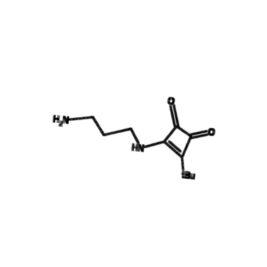 CC(C)(C)c1c(NCCCN)c(=O)c1=O